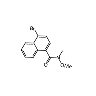 CON(C)C(=O)c1ccc(Br)c2ccccc12